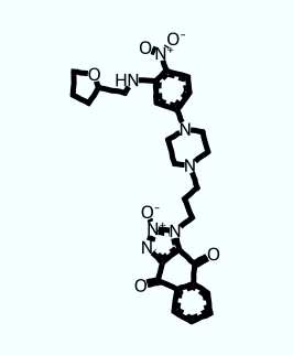 O=C1c2ccccc2C(=O)c2c1n[n+]([O-])n2CCCN1CCN(c2ccc([N+](=O)[O-])c(NCC3CCCO3)c2)CC1